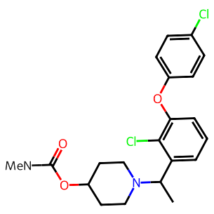 CNC(=O)OC1CCN(C(C)c2cccc(Oc3ccc(Cl)cc3)c2Cl)CC1